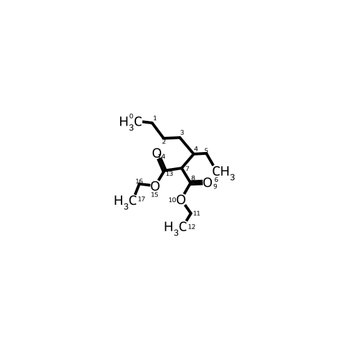 CCCCC(CC)C(C(=O)OCC)C(=O)OCC